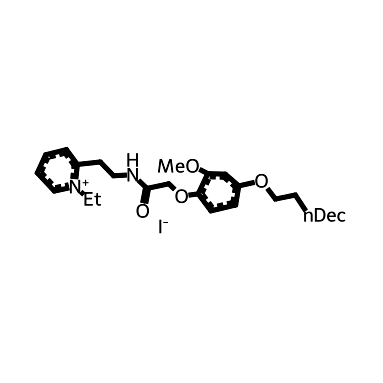 CCCCCCCCCCCCOc1ccc(OCC(=O)NCCc2cccc[n+]2CC)c(OC)c1.[I-]